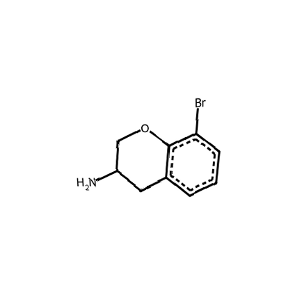 NC1COc2c(Br)cccc2C1